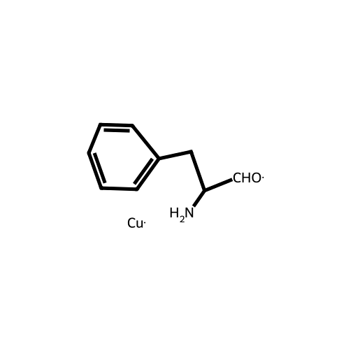 NC([C]=O)Cc1ccccc1.[Cu]